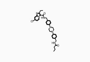 CCCC(=O)NCc1ccc(N2CCN(c3ccc(CNC(=O)c4c(CC)nc5cc(Cl)ccn45)cc3)CC2)cc1